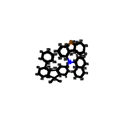 CC1(C)c2ccc(N(c3cccc4ccccc34)c3cccc4sc5ccccc5c34)cc2-c2c(-c3ccccc3)cccc21